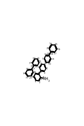 Nc1ccccc1-c1ccccc1.c1ccc(-c2ccccc2)cc1.c1ccc(-c2ccccc2)cc1